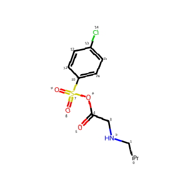 CC(C)CNCC(=O)OS(=O)(=O)c1ccc(Cl)cc1